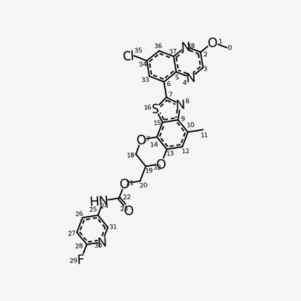 COc1cnc2c(-c3nc4c(C)cc5c(c4s3)OCC(COC(=O)Nc3ccc(F)nc3)O5)cc(Cl)cc2n1